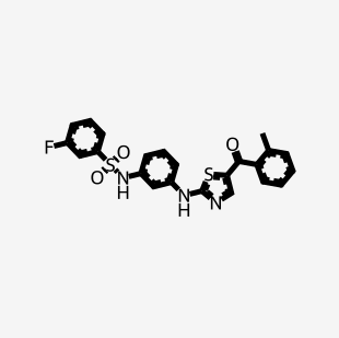 Cc1ccccc1C(=O)c1cnc(Nc2cccc(NS(=O)(=O)c3cccc(F)c3)c2)s1